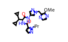 COc1nccnc1Cn1cc(NC(=O)[C@@H](NC(=O)c2ccnn2C(C)C)C(C2CC2)C2CC2)cn1